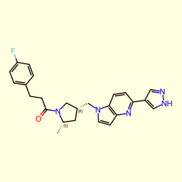 C[C@H]1C[C@@H](Cn2ccc3nc(-c4cn[nH]c4)ccc32)CN1C(=O)CCc1ccc(F)cc1